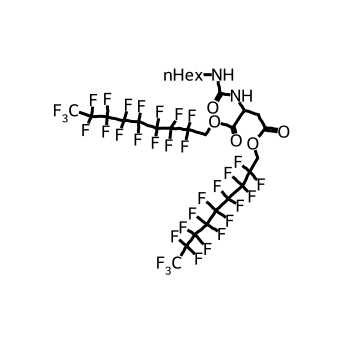 CCCCCCNC(=O)NC(CC(=O)OCC(F)(F)C(F)(F)C(F)(F)C(F)(F)C(F)(F)C(F)(F)C(F)(F)C(F)(F)F)C(=O)OCC(F)(F)C(F)(F)C(F)(F)C(F)(F)C(F)(F)C(F)(F)C(F)(F)C(F)(F)F